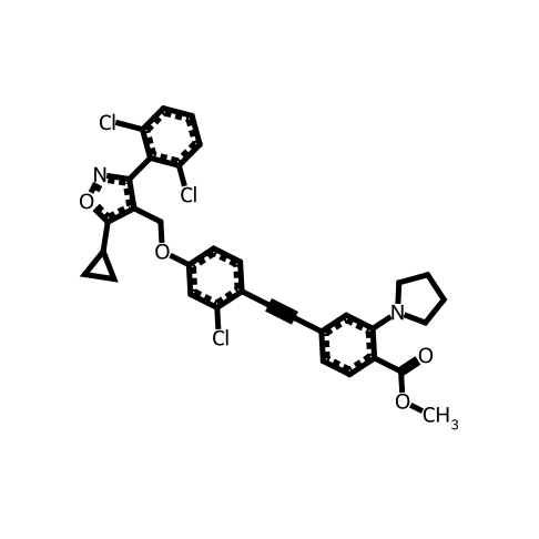 COC(=O)c1ccc(C#Cc2ccc(OCc3c(-c4c(Cl)cccc4Cl)noc3C3CC3)cc2Cl)cc1N1CCCC1